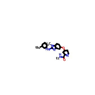 CCNC(=O)c1cc(Oc2ccc3c(c2)nc(Nc2cccc(C(C)(C)C)c2)n3C)ccn1